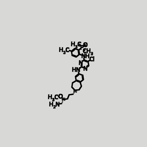 CO[C@@H](CN)CCC[C@H]1CCc2ccc(Nc3ncc(Cl)c(Nc4ccc(C)cc4P(C)(C)=O)n3)cc2CC1